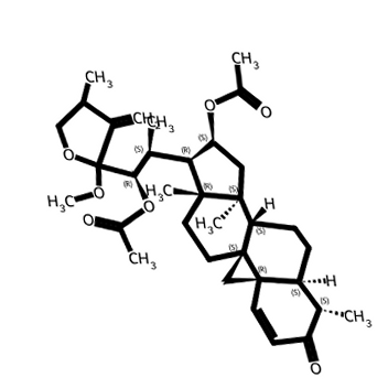 C=C1C(C)COC1(OC)[C@H](OC(C)=O)[C@@H](C)[C@H]1[C@@H](OC(C)=O)C[C@@]2(C)[C@@H]3CC[C@H]4[C@H](C)C(=O)C=C[C@@]45C[C@@]35CC[C@]12C